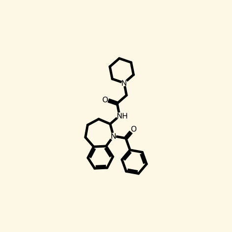 O=C(CN1CCCCC1)NC1CCCc2ccccc2N1C(=O)c1ccccc1